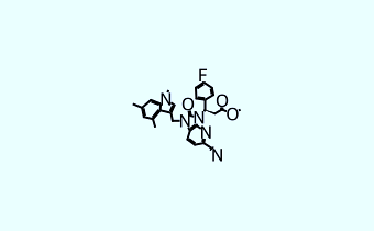 COC(=O)C[C@H](c1ccc(F)cc1)n1c(=O)n(Cc2cn(C)c3cc(C)cc(C)c23)c2ccc(C#N)nc21